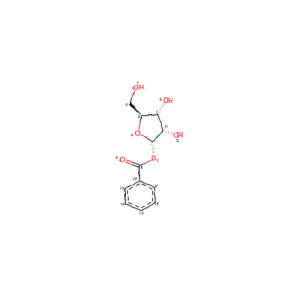 O=C(O[C@@H]1O[C@@H](CO)[C@H](O)[C@@H]1O)c1ccccc1